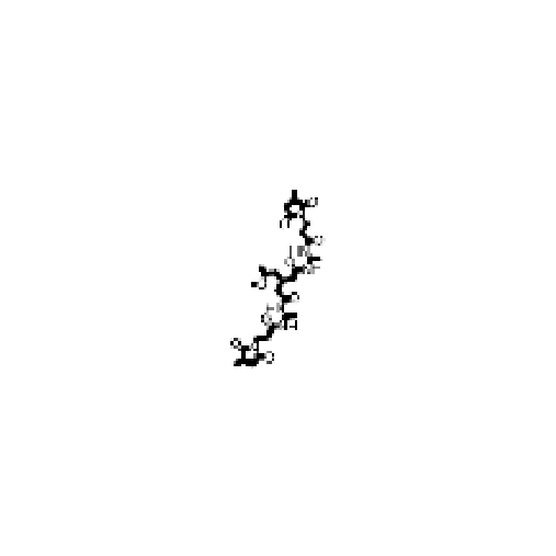 COC(C)CC(CC(=O)NC(C)NC(=O)CCN1C(=O)C=C(C)C1=O)CC(=O)NC(C)NC(=O)CCN1C(=O)C=C(C)C1=O